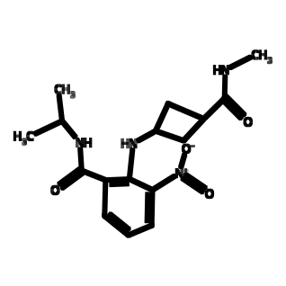 CNC(=O)C1CC(Nc2c(C(=O)NC(C)C)cccc2[N+](=O)[O-])C1